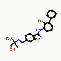 CC(CO)(N=Cc1ccc2c(Nc3cccc(-c4ccccc4)c3Br)nsc2c1)C(=O)O